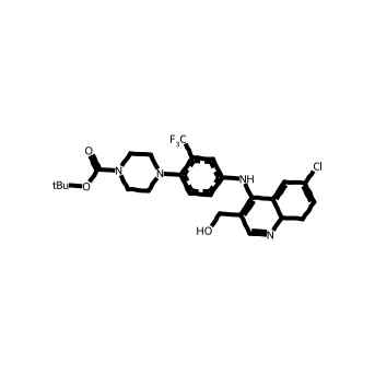 CC(C)(C)OC(=O)N1CCN(c2ccc(NC3=C(CO)C=NC4CC=C(Cl)C=C34)cc2C(F)(F)F)CC1